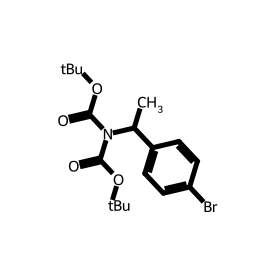 CC(c1ccc(Br)cc1)N(C(=O)OC(C)(C)C)C(=O)OC(C)(C)C